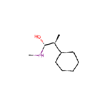 CP[C@H](O)[C@@H](C)C1CCCCC1